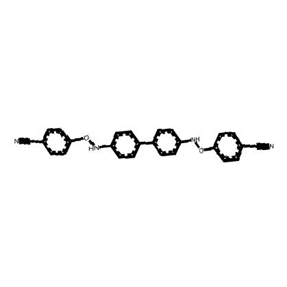 N#Cc1ccc(ONc2ccc(-c3ccc(NOc4ccc(C#N)cc4)cc3)cc2)cc1